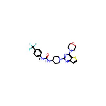 O=C(Nc1ccc(C(F)(F)F)cc1)NC1CCN(c2nc(N3CCOCC3)c3sccc3n2)CC1